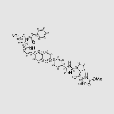 COC(=O)N[C@H](C(=O)N1CCC[C@H]1c1ncc(-c2ccc(-c3ccc4cc(-c5cnc([C@@H]6C[C@H](C#N)CN6C(=O)Cc6ccccc6)[nH]5)ccc4c3)cc2)[nH]1)C(C)C